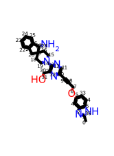 Cc1nc2cc(OCC#Cc3cnc(N4CCC5(CC4)Cc4ccccc4[C@H]5N)c(CO)n3)ccc2[nH]1